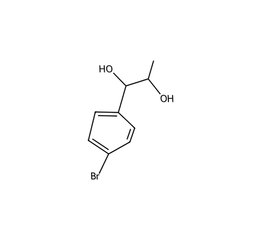 CC(O)C(O)c1ccc(Br)cc1